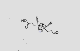 CC(C#N)(CCC=O)/N=N\C(C)(C#N)CCC(=O)O